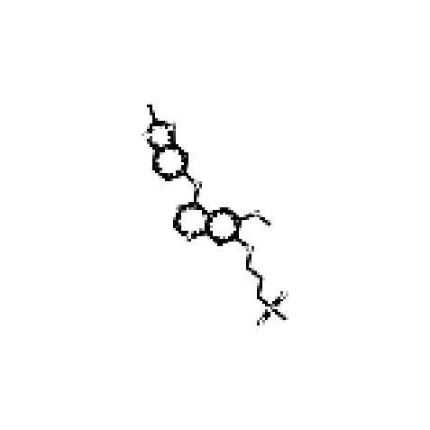 COc1cc2c(Oc3ccc4sc(C)nc4c3)ncnc2cc1OCCCS(C)(=O)=O